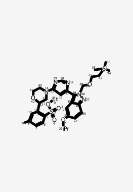 CCOS(=O)(=O)c1ccc(C)cc1C1CN(c2cc(-c3c4cc(OC(C)C)ccc4nn3COCC[Si](C)(C)C)ncn2)CCO1